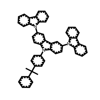 CC(C)(c1ccccc1)c1ccc(-n2c3ccc(-n4c5ccccc5c5ccccc54)cc3c3cc(-n4c5ccccc5c5ccccc54)ccc32)cc1